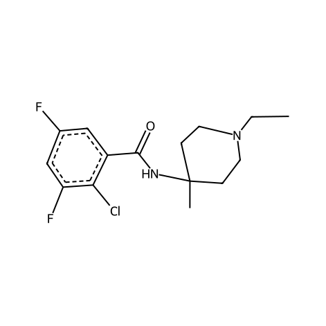 CCN1CCC(C)(NC(=O)c2cc(F)cc(F)c2Cl)CC1